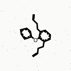 C=CCCc1cccc(CCC=C)c1Oc1ccccc1